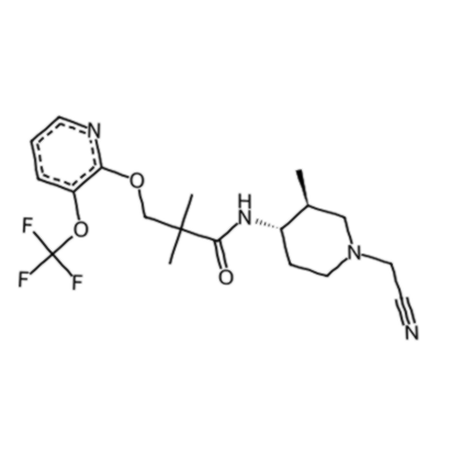 C[C@H]1CN(CC#N)CC[C@@H]1NC(=O)C(C)(C)COc1ncccc1OC(F)(F)F